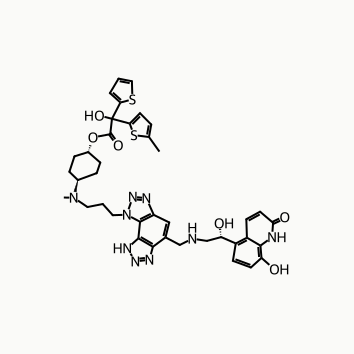 Cc1ccc(C(O)(C(=O)O[C@H]2CC[C@H](N(C)CCCn3nnc4cc(CNC[C@H](O)c5ccc(O)c6[nH]c(=O)ccc56)c5nn[nH]c5c43)CC2)c2cccs2)s1